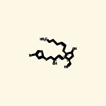 B=C[C@@H]1CC(O)[C@H](C/C=C\CCCC(=O)O)[C@H]1/C=C/[C@@H](O)CSc1cc(Br)cs1